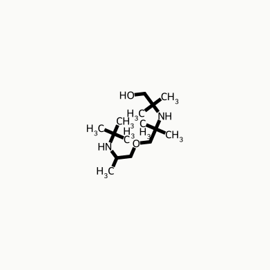 CC(COCC(C)(C)NC(C)(C)CO)NC(C)(C)C